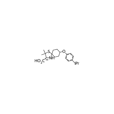 CC(C)c1ccc(OC2CCC3(CC2)N[C@@H](C(=O)O)C(C)(C)S3)cc1